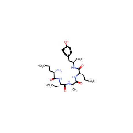 C[C@H](NC(=O)[C@H](CC(=O)O)NC(=O)[C@@H](N)CCC(=O)O)C(=O)N[C@@H](CCC(=O)O)C(=O)N[C@@H](Cc1ccc(O)cc1)C(=O)O